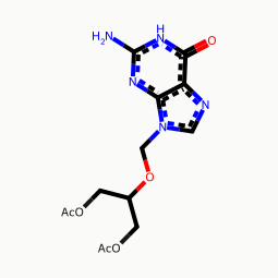 CC(=O)OCC(COC(C)=O)OCn1cnc2c(=O)[nH]c(N)nc21